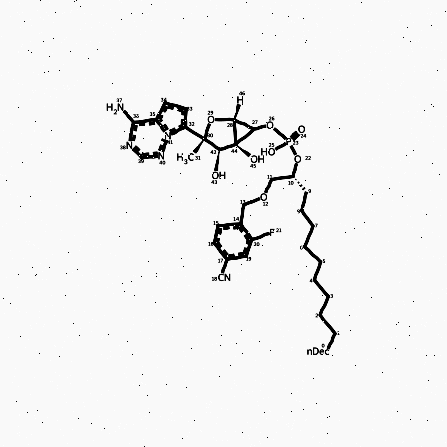 CCCCCCCCCCCCCCCCCCC[C@H](COCc1ccc(C#N)cc1F)OP(=O)(O)OC1[C@H]2O[C@@](C)(c3ccc4c(N)ncnn34)[C@H](O)[C@@]12O